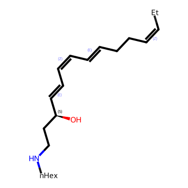 CC/C=C\CC/C=C/C=C\C=C\[C@@H](O)CCNCCCCCC